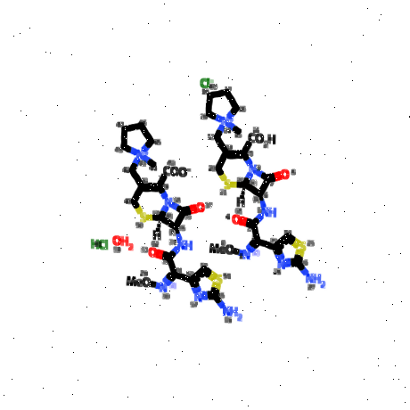 CO/N=C(\C(=O)N[C@@H]1C(=O)N2C(C(=O)O)=C(C[N+]3(C)CCCC3)CS[C@H]12)c1csc(N)n1.CO/N=C(\C(=O)N[C@@H]1C(=O)N2C(C(=O)[O-])=C(C[N+]3(C)CCCC3)CS[C@H]12)c1csc(N)n1.Cl.O.[Cl-]